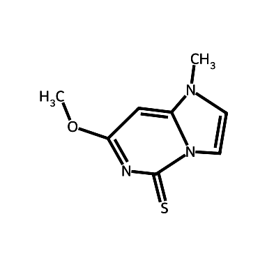 COc1cc2n(C)ccn2c(=S)n1